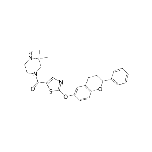 CC1(C)CN(C(=O)c2cnc(Oc3ccc4c(c3)CCC(c3ccccc3)O4)s2)CCN1